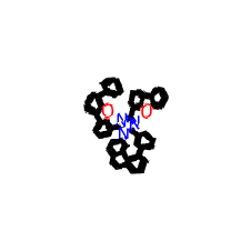 c1ccc(-c2cccc3c2oc2c(-c4nc(-c5cccc(-c6cccc7ccc8ccccc8c67)c5)nc(-c5cccc6c5oc5ccccc56)n4)cccc23)cc1